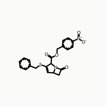 O=C(OCc1ccc([N+](=O)[O-])cc1)C1C(SCc2ccccc2)=CC2CC(=O)N21